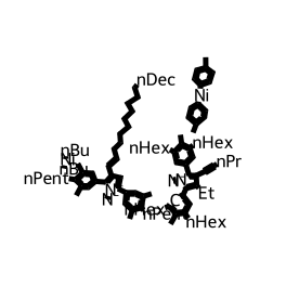 CCCC#CC1=C(c2cc(CCCCCC)c(C)c(CCCCCC)c2)[N+](=[N-])C(c2cc(CCCCCC)c(C)c(CCCCCC)c2)=C1CC.CCCCCCCCCCCCCCCCCCCC=CC1=C(c2cc(C)c(CCCCC)c(C)c2)[N+](=[N-])C(c2cc(C)c(CCCCC)c(C)c2)=C1.CCC[CH2][Ni][CH2]CCC.Cc1cc[c]([Ni][c]2ccc(C)cc2)cc1